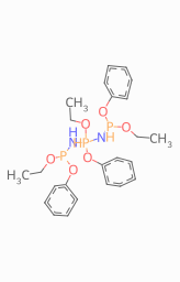 CCOP(N[PH](/N=[PH](/OCC)Oc1ccccc1)(OCC)Oc1ccccc1)Oc1ccccc1